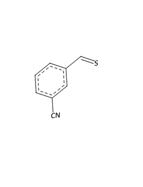 N#Cc1cccc(C=S)c1